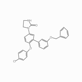 O=C1NCCN1c1ccc(Oc2ccc(Cl)cc2)c(-c2cccc(OCc3ccccc3)c2)c1